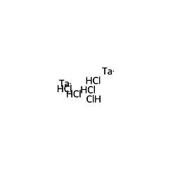 Cl.Cl.Cl.Cl.Cl.[Ta].[Ta]